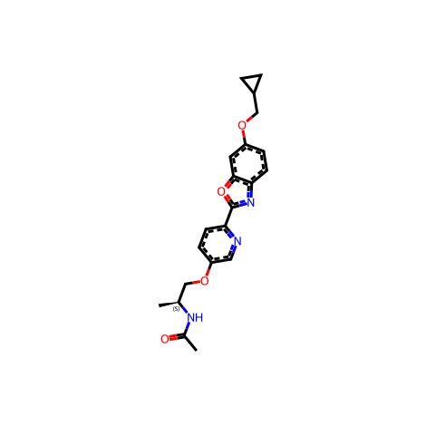 CC(=O)N[C@@H](C)COc1ccc(-c2nc3ccc(OCC4CC4)cc3o2)nc1